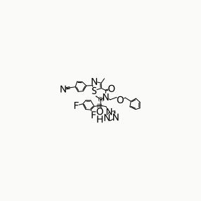 Cc1nc(-c2ccc(C#N)cc2)sc1C(=O)N(CCOCc1ccccc1)[C@H](C)[C@](O)(Cn1cncn1)c1ccc(F)cc1F